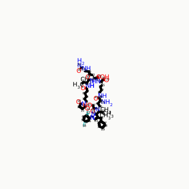 CC(C)[C@H](NC(=O)CCCCCN1C(=O)C=CC1=O)C(=O)N[C@@H](CCCCNC(N)=O)C(=O)N[C@@H](CCCCNC(=O)[C@@H](N)CCN(C(=O)CO)[C@@H](c1nn(-c2cc(F)ccc2F)cc1Cc1ccccc1)C(C)(C)C)C(=O)O